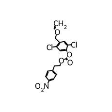 C=COCc1cc(Cl)c(OC(=O)OCCc2ccc([N+](=O)[O-])cc2)cc1Cl